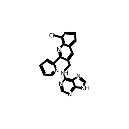 Clc1cccc2cc(CNc3ncnc4[nH]cnc34)c(-c3ccccn3)nc12